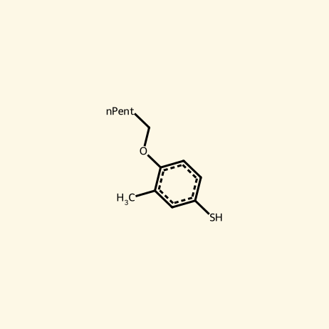 CCCCCCOc1ccc(S)cc1C